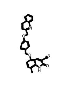 Cc1ccc(OCc2ccc(OCc3ccc4ccccc4n3)cc2)c2cc(C#N)c(=O)[nH]c12